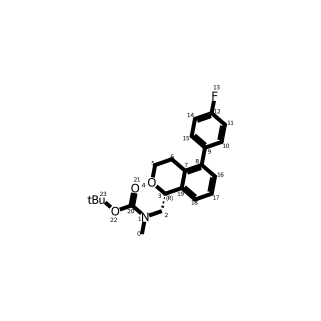 CN(C[C@@H]1OCCc2c(-c3ccc(F)cc3)cccc21)C(=O)OC(C)(C)C